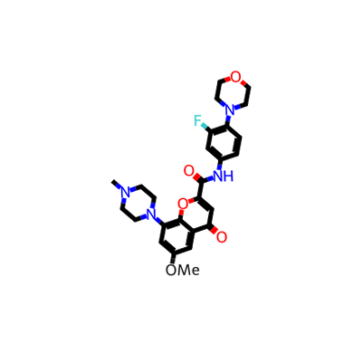 COc1cc(N2CCN(C)CC2)c2oc(C(=O)Nc3ccc(N4CCOCC4)c(F)c3)cc(=O)c2c1